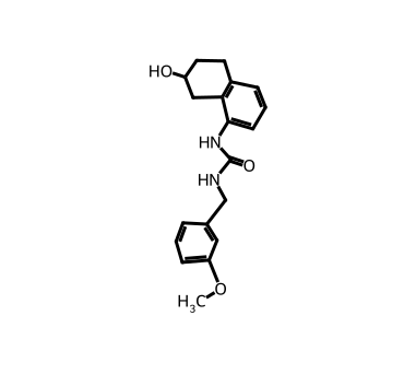 COc1cccc(CNC(=O)Nc2cccc3c2CC(O)CC3)c1